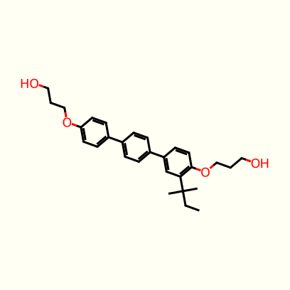 CCC(C)(C)c1cc(-c2ccc(-c3ccc(OCCCO)cc3)cc2)ccc1OCCCO